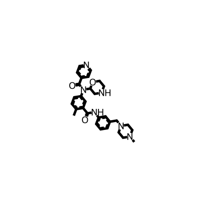 Cc1ccc(N(C(=O)c2ccncc2)C2CNCCO2)cc1C(=O)Nc1cccc(CN2CCN(C)CC2)c1